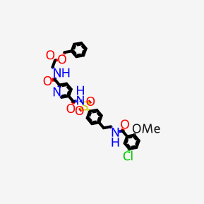 COc1ccc(Cl)cc1C(=O)NCCc1ccc(S(=O)(=O)NC(=O)c2ccc(C(=O)NCC(=O)OCc3ccccc3)nc2)cc1